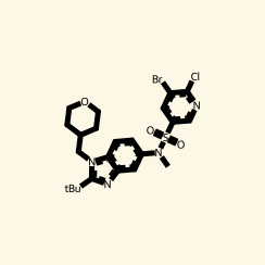 CN(c1ccc2c(c1)nc(C(C)(C)C)n2CC1CCOCC1)S(=O)(=O)c1cnc(Cl)c(Br)c1